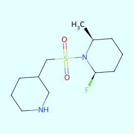 C[C@H]1CCC[C@@H](F)N1S(=O)(=O)CC1CCCNC1